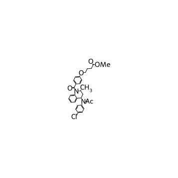 COC(=O)CCCOc1ccc(C(=O)N2c3ccccc3C(N(C(C)=O)c3ccc(Cl)cc3)CC2C)cc1